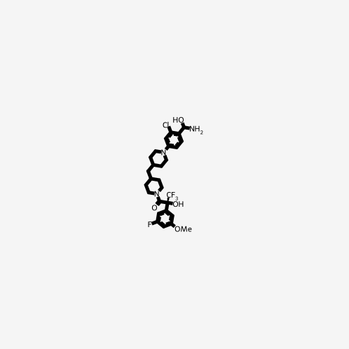 COc1cc(F)cc([C@@](O)(C(=O)N2CCC(CC3CCN(c4ccc(C(N)O)c(Cl)c4)CC3)CC2)C(F)(F)F)c1